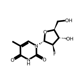 Cc1cn([C@@H]2O[C@@H](CO)[C@H](O)[C@H]2F)c(=O)[nH]c1=O